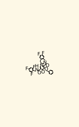 C[C@]12Cc3cc(F)c(F)cc3CN(C1)C(=O)c1c(OCc3ccccc3)c(=O)c(C(=O)NCc3c(F)cc(F)cc3F)cn12